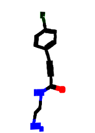 NCCNC(=O)C#Cc1ccc(F)cc1